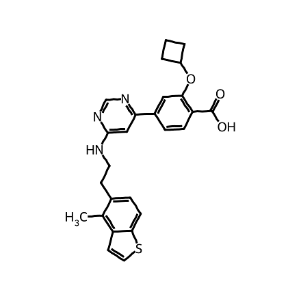 Cc1c(CCNc2cc(-c3ccc(C(=O)O)c(OC4CCC4)c3)ncn2)ccc2sccc12